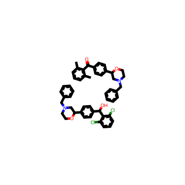 Cc1cccc(C)c1C(=O)c1ccc(C2CN(Cc3ccccc3)CCO2)cc1.OC(c1ccc(C2CN(Cc3ccccc3)CCO2)cc1)c1c(Cl)cccc1Cl